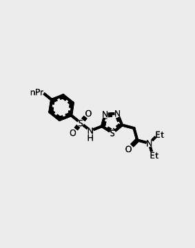 CCCc1ccc(S(=O)(=O)Nc2nnc(CC(=O)N(CC)CC)s2)cc1